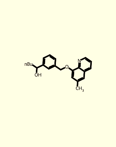 CCCCC(O)c1cccc(COc2cc(C)cc3cccnc23)c1